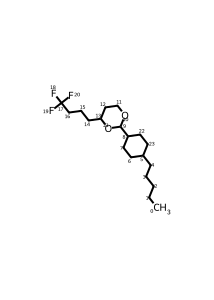 CCCCCC1CCC(C2OCCC(CCCC(F)(F)F)O2)CC1